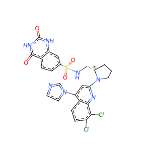 O=c1[nH]c(=O)c2ccc(S(=O)(=O)NC[C@@H]3CCCN3c3cc(-n4ccnc4)c4ccc(Cl)c(Cl)c4n3)cc2[nH]1